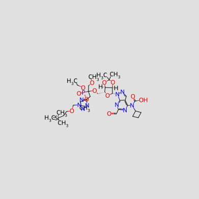 CCOP(=O)(OCC)C(COC)(Cc1nnn(COCC[Si](C)(C)C)n1)OC[C@H]1O[C@@H](n2ncc3c(N(C(=O)O)C4CCC4)nc(C=O)nc32)[C@@H]2OC(C)(C)O[C@@H]21